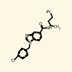 CC(C)CCC(C)NC(=O)c1ccc2c(c1)ncn2Cc1ccc(Cl)cc1